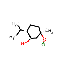 CC(C)[C@@H]1CC[C@@](C)(OCl)C[C@H]1O